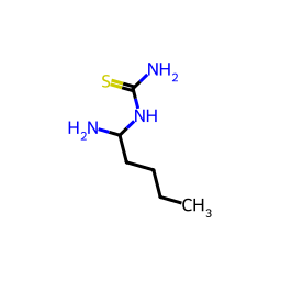 CCCCC(N)NC(N)=S